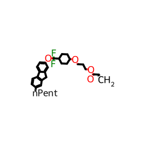 C=CC(=O)OCCCOC1CCC(C(F)(F)Oc2ccc3c(c2)Cc2cc(CCCCC)ccc2-3)CC1